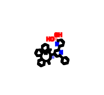 C=C1/C=C(/c2cc(-c3ccccc3)nc(-c3cccc(B(O)O)n3)c2)C(C)[C@]2(C=CC=CC2)c2ccccc2-c2ccccc21